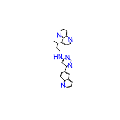 CC(CCNc1cc(-c2ccc3ncccc3c2)ncn1)c1ccnc2cccnc12